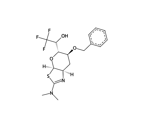 CN(C)C1=N[C@@H]2C[C@H](OCc3ccccc3)[C@@H](C(O)C(F)(F)F)O[C@@H]2S1